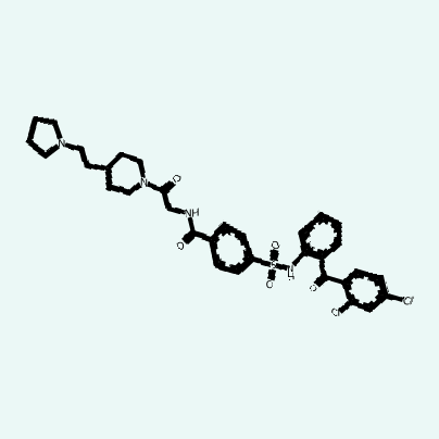 O=C(NCC(=O)N1CCC(CCN2CCCC2)CC1)c1ccc(S(=O)(=O)Nc2ccccc2C(=O)c2ccc(Cl)cc2Cl)cc1